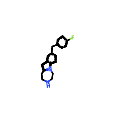 Fc1ccc(Cc2ccc3c(c2)cc2n3CCNCC2)cc1